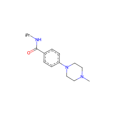 CC(C)NC(=O)c1ccc(N2CCN(C)CC2)cc1